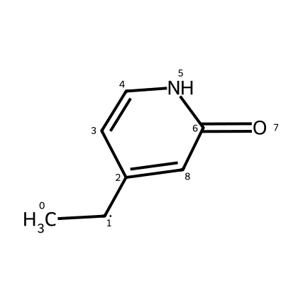 C[CH]c1cc[nH]c(=O)c1